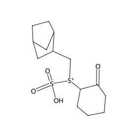 O=C1CCCCC1[S+](CC1CC2CCC1C2)S(=O)(=O)O